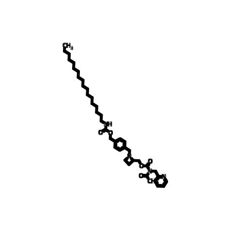 CCCCCCCCCCCCCCCCCCNC(=O)OCc1ccc(CN2CCC2COC(=O)N(Cc2ccccn2)C(C)=O)cc1